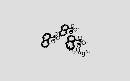 O.O=S(=O)([O-])c1cccc2ccccc12.O=S(=O)([O-])c1cccc2ccccc12.O=S(=O)([O-])c1cccc2ccccc12.[Ag+3]